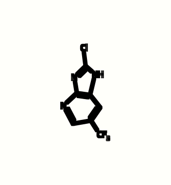 FC(F)(F)c1cnc2nc(Cl)[nH]c2c1